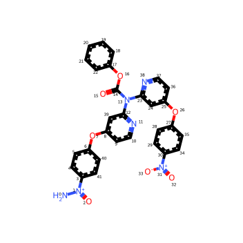 N[N+](=O)c1ccc(Oc2ccnc(N(C(=O)Oc3ccccc3)c3cc(Oc4ccc([N+](=O)[O-])cc4)ccn3)c2)cc1